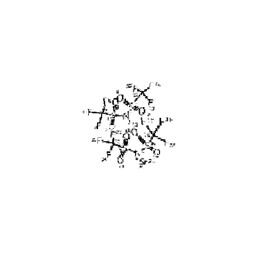 O=S(=O)([N-]S(=O)(=O)C(F)(F)F)C(F)(F)F.O=S(=O)([N-]S(=O)(=O)C(F)(F)F)C(F)(F)F.[Sr+2]